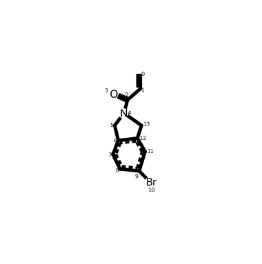 C=CC(=O)N1Cc2ccc(Br)cc2C1